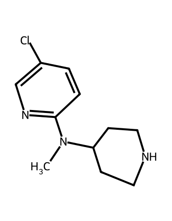 CN(c1ccc(Cl)cn1)C1CCNCC1